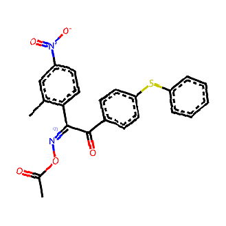 CC(=O)O/N=C(\C(=O)c1ccc(Sc2ccccc2)cc1)c1ccc([N+](=O)[O-])cc1C